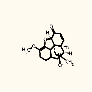 COC1=C2O[C@H]3C(=O)C=C[C@H]4[C@H]5CC(CC1)C2[C@@]34CC[N+]5(C)[O-]